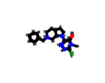 Cn1c(Cl)nnc(N2CCC3CCN(Cc4ccccc4)CC32)c1=O